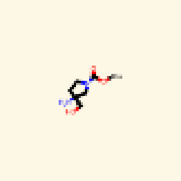 CC(C)(C)OC(=O)N1CC[C@@](N)(CO)C1